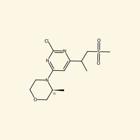 CC(CS(C)(=O)=O)c1cc(N2CCOC[C@@H]2C)nc(Cl)n1